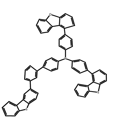 c1cc(-c2ccc(N(c3ccc(-c4cccc5oc6ccccc6c45)cc3)c3ccc(-c4cccc5sc6ccccc6c45)cc3)cc2)cc(-c2ccc3sc4ccccc4c3c2)c1